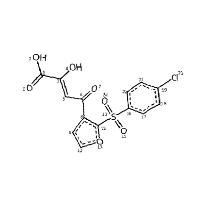 O=C(O)C(O)=CC(=O)c1ccoc1S(=O)(=O)c1ccc(Cl)cc1